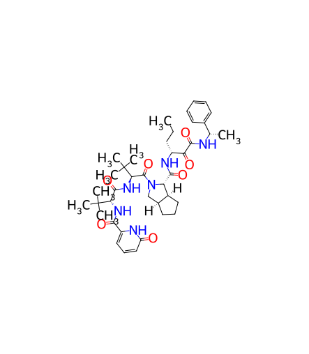 CCC[C@@H](NC(=O)[C@@H]1[C@H]2CCC[C@H]2CN1C(=O)[C@@H](NC(=O)[C@H](NC(=O)c1cccc(=O)[nH]1)C(C)(C)C)C(C)(C)C)C(=O)C(=O)N[C@@H](C)c1ccccc1